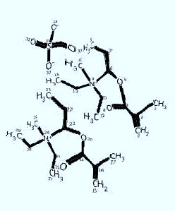 C=C(C)C(=O)OC(CC)[N+](C)(CC)CC.C=C(C)C(=O)OC(CC)[N+](C)(CC)CC.O=S(=O)([O-])[O-]